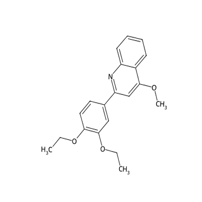 CCOc1ccc(-c2cc(OC)c3ccccc3n2)cc1OCC